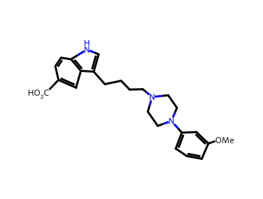 COc1cccc(N2CCN(CCCCc3c[nH]c4ccc(C(=O)O)cc34)CC2)c1